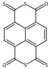 O=C1SC(=S)c2ccc3c4c(ccc1c24)C(=S)SC3=O